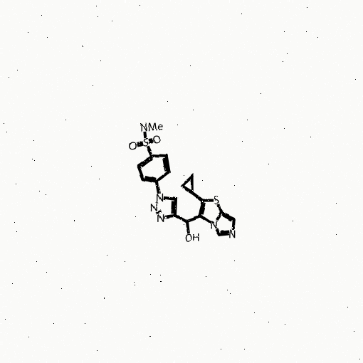 CNS(=O)(=O)c1ccc(-n2cc(C(O)c3c(C4CC4)sc4cncn34)nn2)cc1